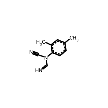 Cc1ccc(N(C#N)C=N)c(C)c1